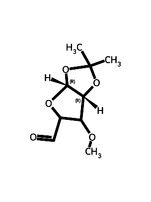 COC1C(C=O)O[C@@H]2OC(C)(C)O[C@H]12